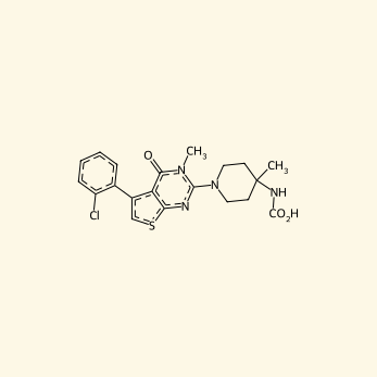 Cn1c(N2CCC(C)(NC(=O)O)CC2)nc2scc(-c3ccccc3Cl)c2c1=O